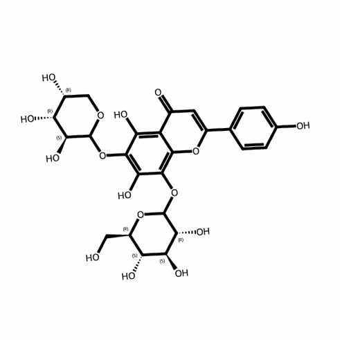 O=c1cc(-c2ccc(O)cc2)oc2c(OC3O[C@H](CO)[C@@H](O)[C@H](O)[C@H]3O)c(O)c(OC3OC[C@@H](O)[C@@H](O)[C@@H]3O)c(O)c12